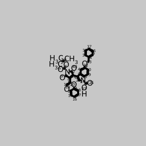 CC(C)(C)OC(=O)N1C(=O)C(C2=COc3ccccc3O2)=C(c2cn(C(=O)O)c3ccc(OCc4ccccc4)cc23)C1=O